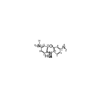 CN(C)c1ccc2c(c1)Oc1cc(N(C)C)ccc1N2.Cl